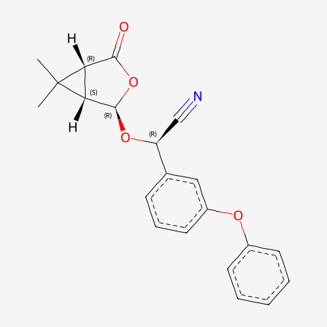 CC1(C)[C@H]2[C@H](O[C@@H](C#N)c3cccc(Oc4ccccc4)c3)OC(=O)[C@H]21